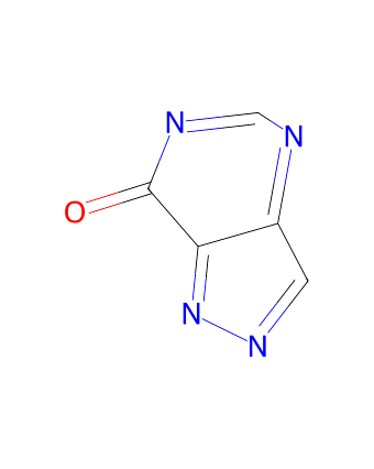 O=C1N=CN=C2C=NN=C12